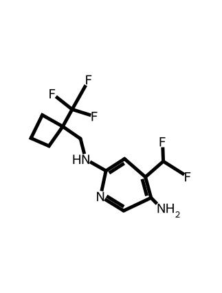 Nc1cnc(NCC2(C(F)(F)F)CCC2)cc1C(F)F